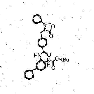 CC(C)(C)OC(=O)Nc1ccc(-c2ccccc2)cc1NC(=O)c1ccc(CN2C(=O)OC[C@@H]2c2ccccc2)cc1